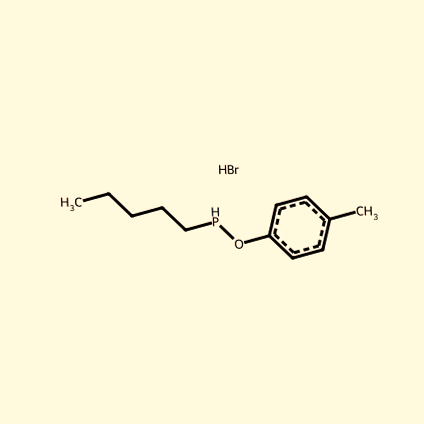 Br.CCCCCPOc1ccc(C)cc1